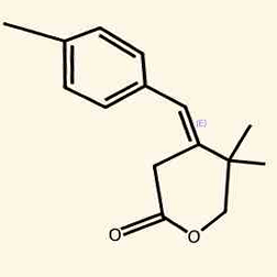 Cc1ccc(/C=C2\CC(=O)OCC2(C)C)cc1